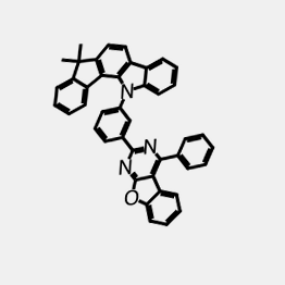 CC1(C)c2ccccc2-c2c1ccc1c3ccccc3n(-c3cccc(-c4nc(-c5ccccc5)c5c(n4)oc4ccccc45)c3)c21